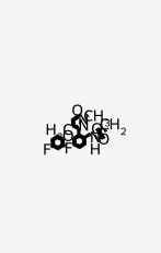 C=CS(=O)(=O)NCc1cccc(Oc2ccc(F)cc2F)c1-c1nn(C)c(=O)cc1C